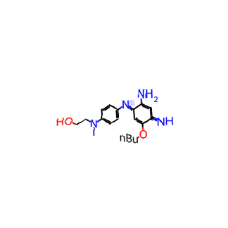 CCCCOC1=C/C(=N\c2ccc(N(I)CCO)cc2)C(N)=CC1=N